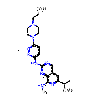 CO[C@H](C)c1cc2cnc(Nc3ccc(N4CCN(CCC(=O)O)CC4)nn3)nc2c(NC(C)C)n1